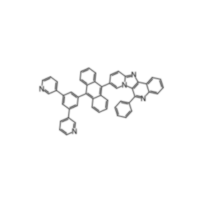 c1ccc(-c2nc3ccccc3c3nc4ccc(-c5c6ccccc6c(-c6cc(-c7cccnc7)cc(-c7cccnc7)c6)c6ccccc56)cn4c23)cc1